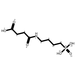 O=C(O)CCC(=O)NCCCCP(=O)(O)O